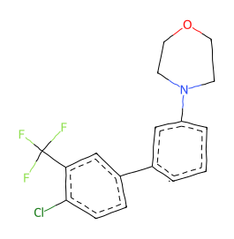 FC(F)(F)c1cc(-c2[c]ccc(N3CCOCC3)c2)ccc1Cl